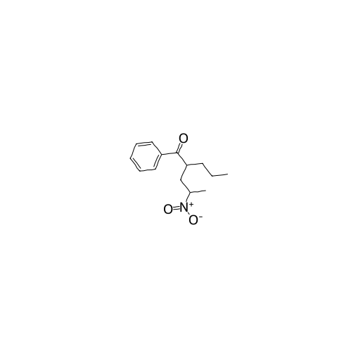 CCCC(CC(C)[N+](=O)[O-])C(=O)c1ccccc1